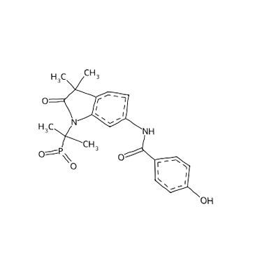 CC1(C)C(=O)N(C(C)(C)P(=O)=O)c2cc(NC(=O)c3ccc(O)cc3)ccc21